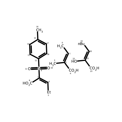 C/C=C(\C)C(=O)O.CC/C=C(\C(=O)O)S(=O)(=O)c1ccc(C)cc1.CCCC/C=C(\O)C(=O)O